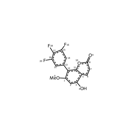 COc1cc(O)c2ccc(=O)oc2c1-c1cc(F)c(F)c(F)c1